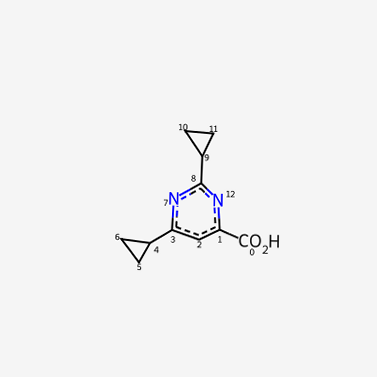 O=C(O)c1cc(C2CC2)nc(C2CC2)n1